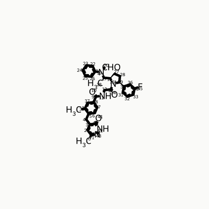 Cc1cc(Cc2ccc(C(=O)NCC(=O)N3[C@@H]([C@H](C)N(C=O)c4ccccc4)CC[C@H]3c3cccc(F)c3)cc2C)c(=O)[nH]n1